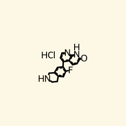 Cl.O=c1ccc2c(-c3cc4c(cc3F)CCNC4)ccnc2[nH]1